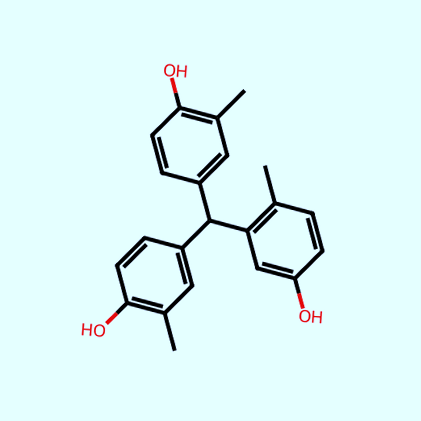 Cc1cc(C(c2ccc(O)c(C)c2)c2cc(O)ccc2C)ccc1O